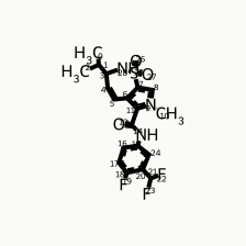 CC(C)C1C=Cc2c(cn(C)c2C(=O)Nc2ccc(F)c(C(F)F)c2)S(=O)(=O)N1